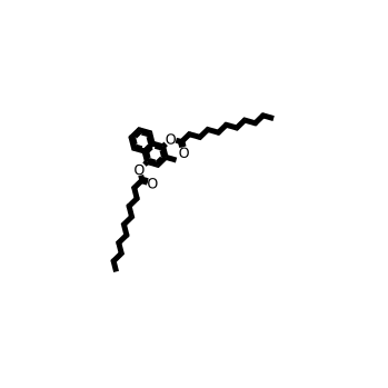 CCCCCCCCCCC(=O)Oc1cc(C)c(OC(=O)CCCCCCCCCC)c2ccccc12